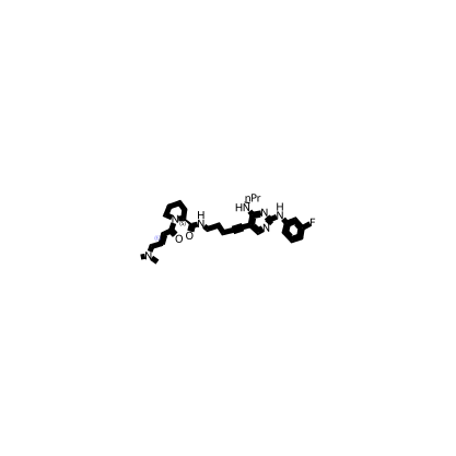 CCCNc1nc(Nc2cccc(F)c2)ncc1C#CCCCNC(=O)[C@@H]1CCCCN1C(=O)/C=C/CN(C)C